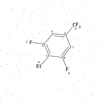 [CH2]Cc1c(F)cc(C(F)(F)F)cc1F